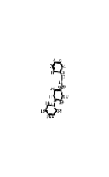 [CH](CCc1ccccc1)c1ccc(-c2ccccc2)cc1